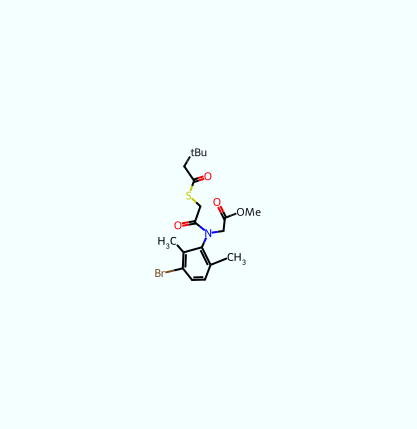 COC(=O)CN(C(=O)CSC(=O)CC(C)(C)C)c1c(C)ccc(Br)c1C